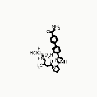 CC(CNC(=O)O)CC(=O)N1CCC[C@H]1c1nc(-c2ccc(-c3ccc(C(=O)CN)cc3)cc2)c[nH]1.Cl.Cl